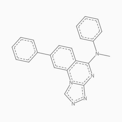 CN(c1ccccc1)c1nc2nncn2c2cc(-c3ccccc3)ccc12